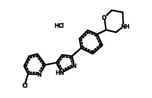 Cl.Clc1cccc(-c2cc(-c3ccc(C4CNCCO4)cc3)n[nH]2)n1